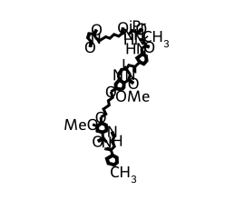 COc1cc2c(cc1OCCCCCOc1cc3c(cc1OC)C(=O)N1C=C(c4cccc(NC(=O)[C@H](C)NC(=O)[C@@H](NC(=O)CCCCCN5C(=O)C=CC5=O)C(C)C)c4)CC1(I)C=N3)N=C[C@@H]1CC(c3ccc(C)cc3)=CN1C2=O